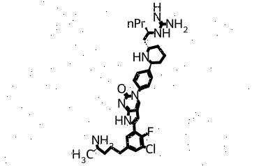 CCC[C@H](C[C@@H]1CCC[C@@H](c2ccc(-n3cc4cc(-c5cc(CCC[C@H](C)N)cc(Cl)c5F)[nH]c4nc3=O)cc2)N1)NC(=N)N